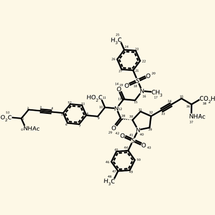 CC(=O)NC(CC#Cc1ccc(CC(C(=O)O)N(C(=O)CN(C)S(=O)(=O)c2ccc(C)cc2)C(=O)[C@@H]2CC(C#CCC(NC(C)=O)C(=O)O)CN2S(=O)(=O)c2ccc(C)cc2)cc1)C(=O)O